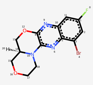 Fc1cc(Br)c2nc3c(nc2c1)OC[C@@H]1COCCN31